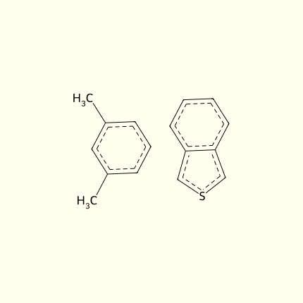 Cc1cccc(C)c1.c1ccc2cscc2c1